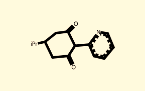 CC(C)C1CC(=O)C(c2ccccn2)C(=O)C1